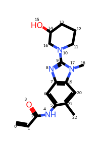 C=CC(=O)Nc1cc2nc(N3CCCC(O)C3)n(C)c2cc1C